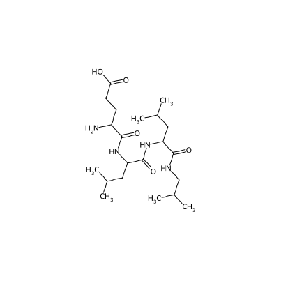 CC(C)CNC(=O)C(CC(C)C)NC(=O)C(CC(C)C)NC(=O)C(N)CCC(=O)O